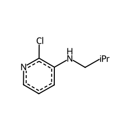 CC(C)CNc1cccnc1Cl